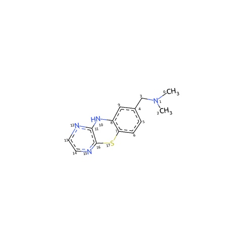 CN(C)Cc1ccc2c(c1)Nc1nccnc1S2